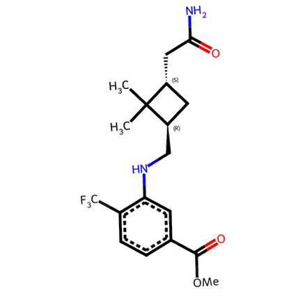 COC(=O)c1ccc(C(F)(F)F)c(NC[C@@H]2C[C@@H](CC(N)=O)C2(C)C)c1